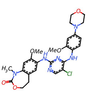 COc1cc2c(cc1Nc1ncc(Cl)c(Nc3ccc(N4CCOCC4)cc3OC)n1)CCOC(=O)N2C